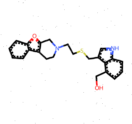 OCc1cccc2[nH]cc(CSCCN3CCc4c(oc5ccccc45)C3)c12